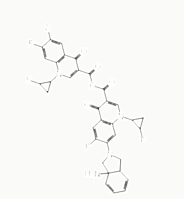 NC12C=CC=CC1CN(c1cc3c(cc1F)c(=O)c(C(=O)OC(=O)c1cn(C4CC4F)c4cc(F)c(F)cc4c1=O)cn3C1CC1F)C2